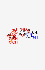 Cn1c(=N)ccn([C@@H]2O[C@H](COP(=O)(O)OP(=O)(O)OP(=O)(O)O)C(O)C2O)c1=O